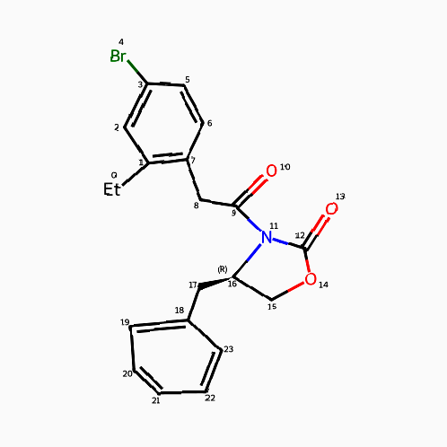 CCc1cc(Br)ccc1CC(=O)N1C(=O)OC[C@H]1Cc1ccccc1